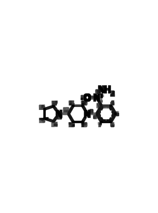 N[N+](=O)c1ccccc1N1CCC(N2C[CH]CC2)CC1